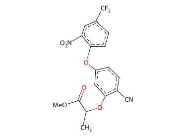 COC(=O)C(C)Oc1cc(Oc2ccc(C(F)(F)F)cc2[N+](=O)[O-])ccc1C#N